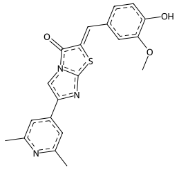 COc1cc(/C=c2\sc3nc(-c4cc(C)nc(C)c4)cn3c2=O)ccc1O